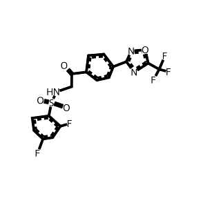 O=C(CNS(=O)(=O)c1ccc(F)cc1F)c1ccc(-c2noc(C(F)(F)F)n2)cc1